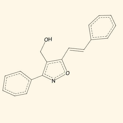 OCc1c(-c2ccccc2)noc1/C=C/c1ccccc1